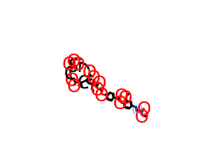 CCC(C)(CC1(C)CC(C)(C)C(=O)OCCC[Si](OC)(OC)OCCCOC1=O)C(=O)OCOc1ccc(C(=O)Oc2ccc(/C=C/C(=O)OC)cc2OC)cc1